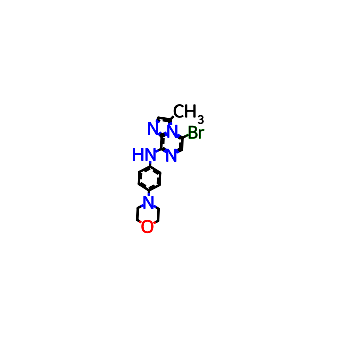 Cc1cnc2c(Nc3ccc(N4CCOCC4)cc3)ncc(Br)n12